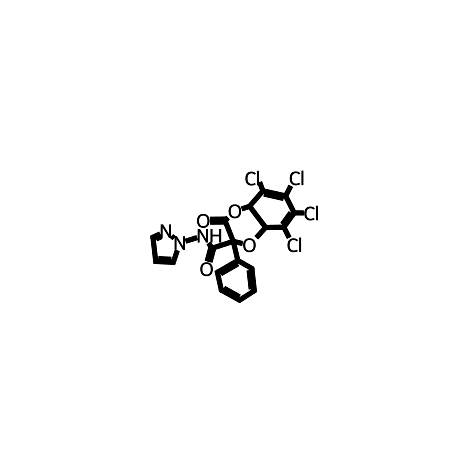 O=C(Nn1cccn1)C1(c2ccccc2)OC2C(Cl)=C(Cl)C(Cl)=C(Cl)C2OC1=O